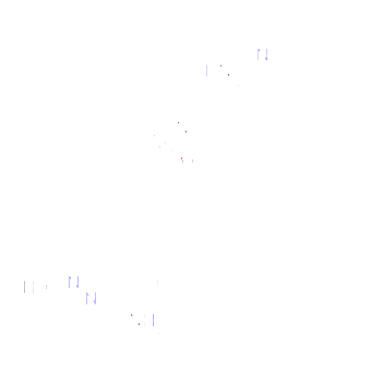 Cn1nc(C(N)=O)c2cc(-c3ccc(S(=O)(=O)N4CCC(Nc5ccc(C(F)(F)F)cn5)CC4)cc3)ccc21